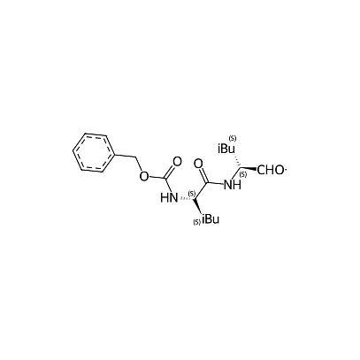 CC[C@H](C)[C@H](NC(=O)OCc1ccccc1)C(=O)N[C@H]([C]=O)[C@@H](C)CC